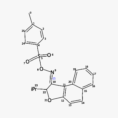 Cc1ccc(S(=O)(=O)O/N=C2/c3c(ccc4ccccc34)OC2C(C)C)cc1